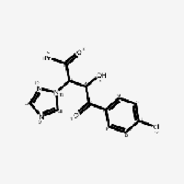 CC(C)C(=O)C(C(O)C(=O)c1ccc(Cl)cc1)n1cncn1